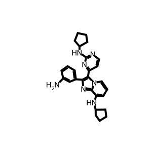 Nc1cccc(-c2nc3c(NC4CCCC4)cccn3c2-c2ccnc(NC3CCCC3)n2)c1